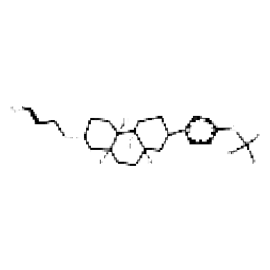 C/C=C/CC[C@@H]1CC[C@H]2[C@H](CC[C@H]3CC(c4ccc(OC(F)(F)F)cc4)CC[C@@H]32)C1